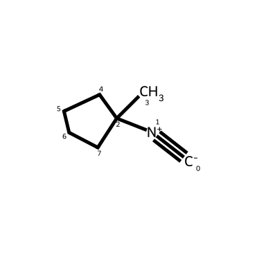 [C-]#[N+]C1(C)CCCC1